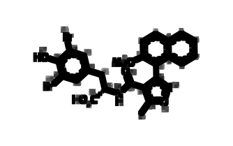 COc1ccc2ccccc2c1-c1noc(C)c1C(=O)N[C@@H](Cc1cc(Br)c(O)c(Br)c1)C(=O)O